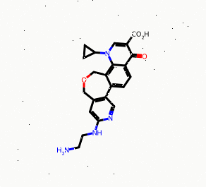 NCCNc1cc2c(cn1)-c1ccc3c(=O)c(C(=O)O)cn(C4CC4)c3c1COC2